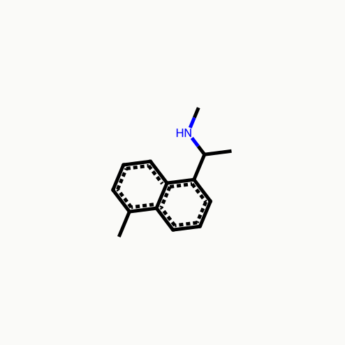 CNC(C)c1cccc2c(C)cccc12